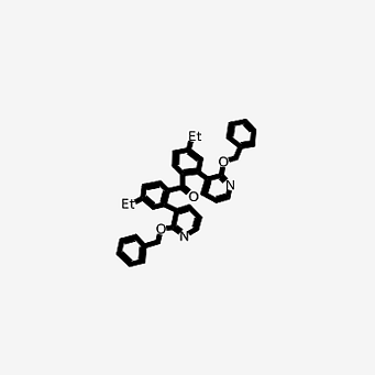 CCc1ccc(C(=O)c2ccc(CC)cc2-c2cccnc2OCc2ccccc2)c(-c2cccnc2OCc2ccccc2)c1